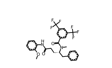 COc1ccccc1NC(=O)CC[C@@H](Cc1ccccc1)N(C)C(=O)c1cc(C(F)(F)F)cc(C(F)(F)F)c1